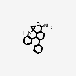 NC(=O)c1ccc(-c2ccccc2)c(-c2ccccc2)c1C1(N)CC1